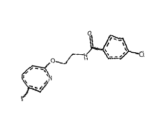 O=C(NCCOc1ccc(I)cn1)c1ccc(Cl)cc1